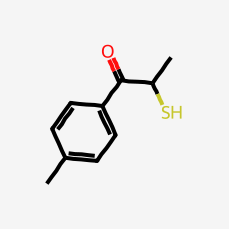 Cc1ccc(C(=O)C(C)S)cc1